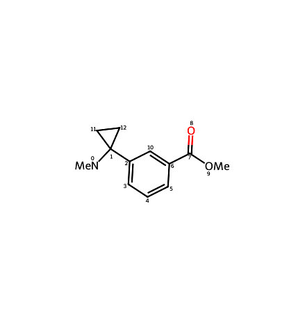 CNC1(c2cccc(C(=O)OC)c2)CC1